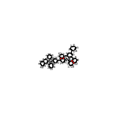 c1ccc(-c2cc(-c3ccccc3)c(N(c3ccccc3)c3ccc(-c4ccc([Si](c5ccccc5)(c5ccccc5)c5ccc6ccccc6c5)cc4)cc3)c(-c3ccccc3)c2)cc1